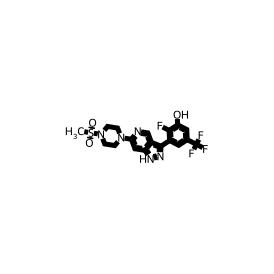 CS(=O)(=O)N1CCN(c2cc3[nH]nc(-c4cc(C(F)(F)F)cc(O)c4F)c3cn2)CC1